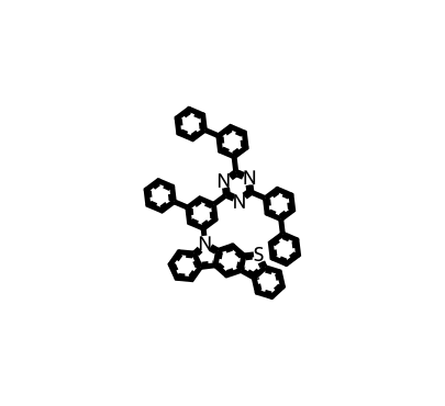 c1ccc(-c2cccc(-c3nc(-c4cccc(-c5ccccc5)c4)nc(-c4cc(-c5ccccc5)cc(-n5c6ccccc6c6cc7c(cc65)sc5ccccc57)c4)n3)c2)cc1